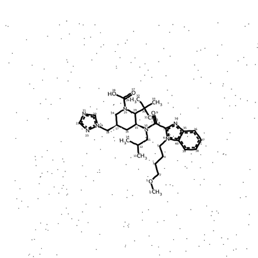 COCCCCn1c(C(=O)N(CC(C)C)[C@H]2C[C@@H](Cn3cncn3)CN(C(=O)O)C2C(C)(C)C)nc2ccccc21